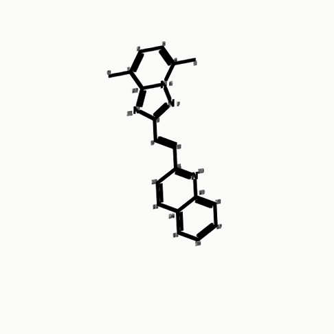 Cc1ccc(C)n2nc(/C=C/c3ccc4ccccc4n3)nc12